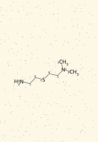 CN(C)CCSCCN